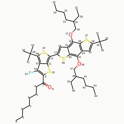 CCCCCCCC(=O)c1sc2c(-c3cc4c(OCC(CC)CCCC)c5sc(C(C)(C)C)cc5c(OCC(CC)CCCC)c4s3)sc(C(C)(C)C)c2c1F